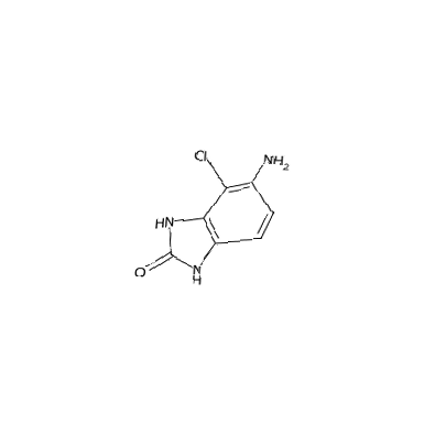 Nc1ccc2[nH]c(=O)[nH]c2c1Cl